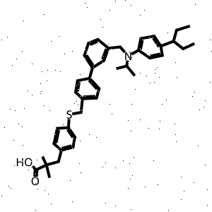 CCC(CC)c1ccc(N(Cc2cccc(-c3ccc(CSc4ccc(CC(C)(C)C(=O)O)cc4)cc3)c2)C(C)C)cc1